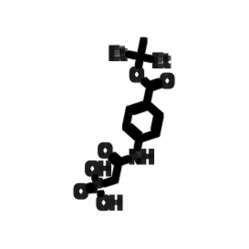 CCC(C)(CC)OC(=O)c1ccc(NC(=O)CP(=O)(O)O)cc1